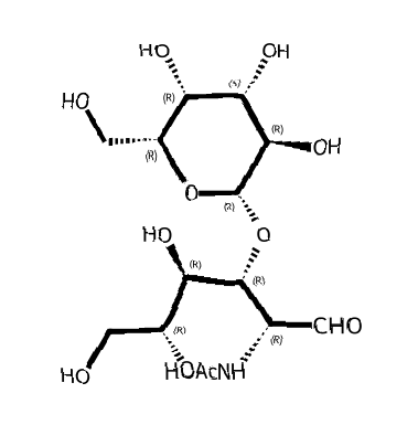 CC(=O)N[C@@H](C=O)[C@@H](O[C@@H]1O[C@H](CO)[C@H](O)[C@H](O)[C@H]1O)[C@H](O)[C@H](O)CO